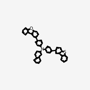 c1ccc2cc(N(c3ccc(-c4ccc5oc6ccccc6c5c4)cc3)c3ccc(-c4ccc5sc6ccccc6c5c4)cc3)ccc2c1